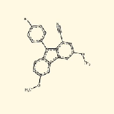 COc1ccc2c(c1)c1cc(OC)cc(C#N)c1n2-c1ccc(Br)cc1